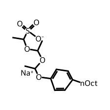 CCCCCCCCc1ccc(OC(C)OC(C)OC(C)S(=O)(=O)[O-])cc1.[Na+]